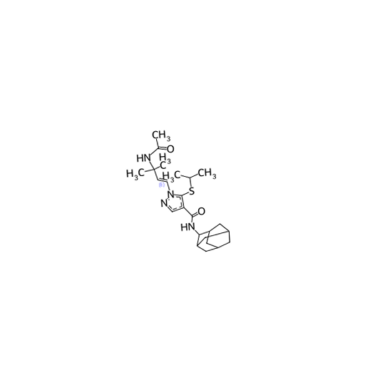 CC(=O)NC(C)(C)/C=C/n1ncc(C(=O)NC2C3CC4CC(C3)CC2C4)c1SC(C)C